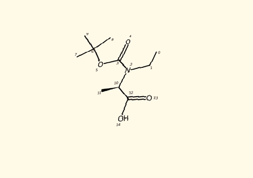 CCN(C(=O)OC(C)(C)C)[C@H](C)C(=O)O